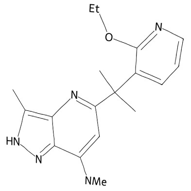 CCOc1ncccc1C(C)(C)c1cc(NC)c2n[nH]c(C)c2n1